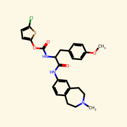 COc1ccc(CC(NC(=O)Oc2ccc(Cl)s2)C(=O)Nc2ccc3c(c2)CCN(C)CC3)cc1